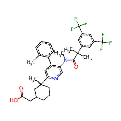 Cc1ccccc1-c1cc(C2(C)CCCC(CC(=O)O)C2)ncc1N(C)C(=O)C(C)(C)c1cc(C(F)(F)F)cc(C(F)(F)F)c1